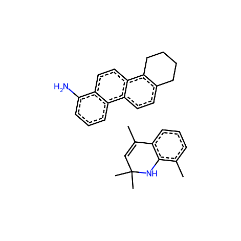 CC1=CC(C)(C)Nc2c(C)cccc21.Nc1cccc2c1ccc1c3c(ccc12)CCCC3